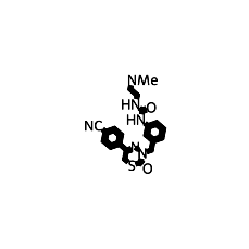 CNCCNC(=O)Nc1cccc(CN2N=C(c3ccc(C#N)cc3)CSC2=O)c1